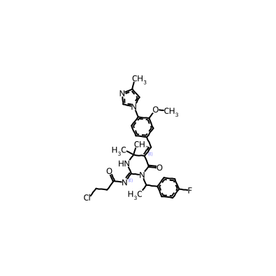 COc1cc(/C=C2/C(=O)N(C(C)c3ccc(F)cc3)/C(=N/C(=O)CCCl)NC2(C)C)ccc1-n1cnc(C)c1